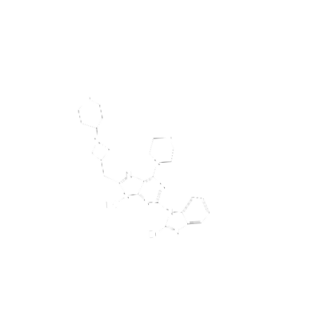 CCc1nc2ccccc2n1-c1nc(N2CCOCC2)c2nc(CC3CN(C4CCOCC4)C3)n(C)c2n1